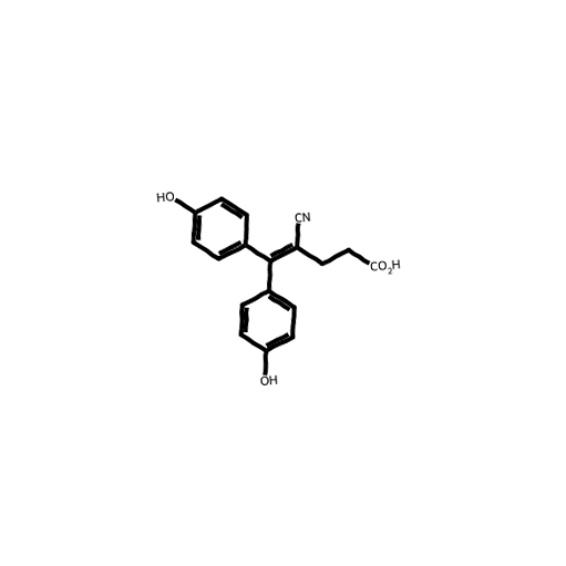 N#CC(CCC(=O)O)=C(c1ccc(O)cc1)c1ccc(O)cc1